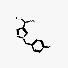 CC(C)c1cnn(Cc2ccc(Cl)cc2)c1